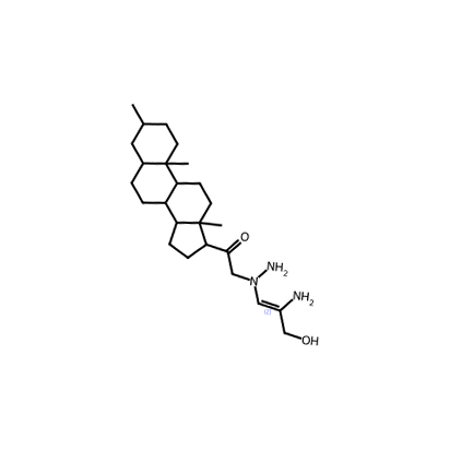 CC1CCC2(C)C(CCC3C2CCC2(C)C(C(=O)CN(N)/C=C(\N)CO)CCC32)C1